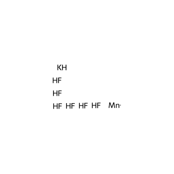 F.F.F.F.F.F.[KH].[Mn]